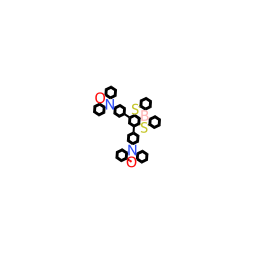 c1ccc2c(c1)Oc1ccccc1N2c1ccc(-c2cc(-c3ccc(N4c5ccccc5Oc5ccccc54)cc3)c3c4c2Sc2ccccc2B4c2ccccc2S3)cc1